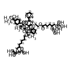 COc1ccccc1Oc1c(OCCOC(=O)CCCC(CON(O)O)ON(O)O)nc(-c2ncccn2)nc1N(C(C)(C)OC(=O)OCCCCCC(CON(O)O)ON(O)O)S(=O)(=O)c1ccc(C(C)(C)C)cc1